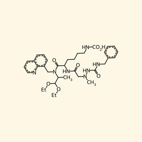 CCOC(OCC)C(C)N(Cc1cccc2cccnc12)C(=O)C(CCCCNC(=O)O)NC(=O)CN(C)NC(=O)NCc1ccccc1